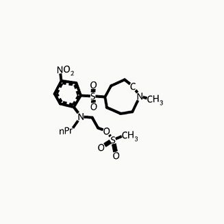 CCCN(CCOS(C)(=O)=O)c1ccc([N+](=O)[O-])cc1S(=O)(=O)C1CCCN(C)CCC1